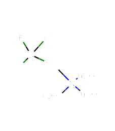 CCCCCCCCCC[N+](C)(CCCCCCCCCC)CCCCCCCCCC.F[B-](F)(F)F